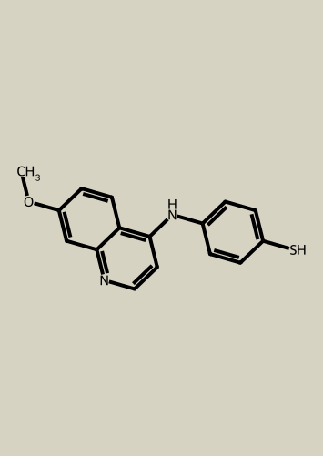 COc1ccc2c(Nc3ccc(S)cc3)ccnc2c1